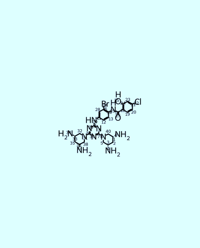 N[C@@H]1C[C@H](N)CN(c2nc(Nc3ccc(NC(=O)c4ccc(Cl)cc4O)c(Br)c3)nc(N3C[C@H](N)C[C@H](N)C3)n2)C1